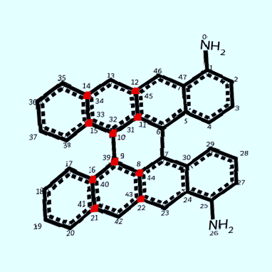 Nc1cccc2c(-c3c(P(c4ccccc4)c4ccccc4)ccc4c(N)cccc34)c(P(c3ccccc3)c3ccccc3)ccc12